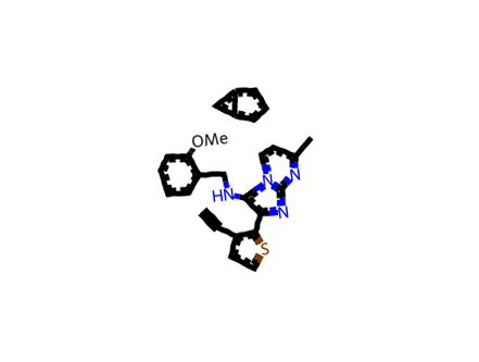 C#Cc1ccsc1-c1nc2nc(C)ccn2c1NCc1ccccc1OC.c1cc2cc-2c1